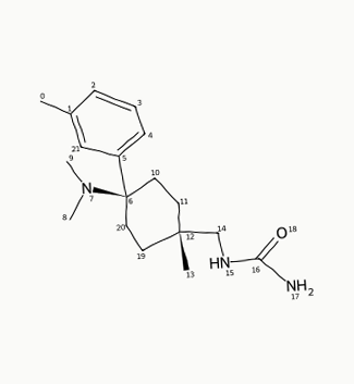 Cc1cccc([C@]2(N(C)C)CC[C@](C)(CNC(N)=O)CC2)c1